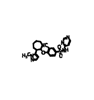 Cn1nccc1C1CCCCCC1Oc1ccc(S(=O)(=O)Nc2ccncn2)cc1C#N